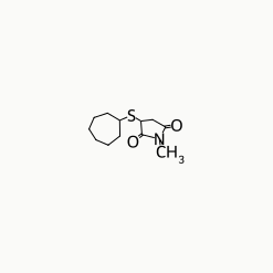 CN1C(=O)CC(SC2CCCCCC2)C1=O